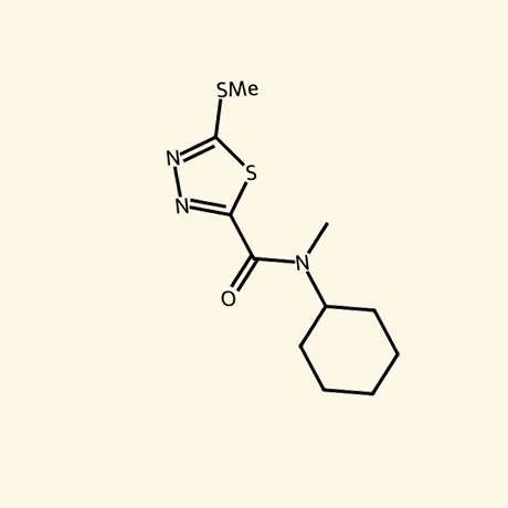 CSc1nnc(C(=O)N(C)C2CCCCC2)s1